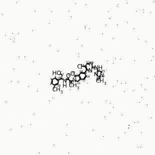 Cc1cccc([C@@H](CO)NC(=O)[C@H](C)N2Cc3ccc(-c4nc(Nc5cnn(C)n5)ncc4Cl)cc3C2=O)c1